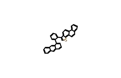 c1ccc(-c2csc3c2ccc2c4ccccc4ccc23)c(-c2cccc3cc4ccccc4cc23)c1